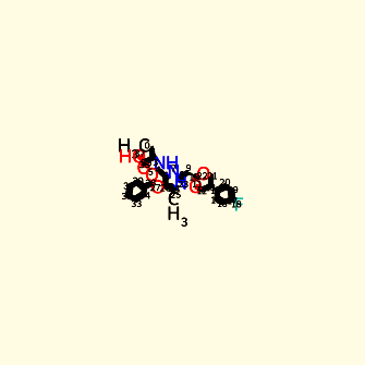 CCC(NC(=O)c1nc(C[C@H]2OC[C@@H](c3ccc(F)cc3)CO2)nc(C)c1OCc1ccccc1)C(=O)O